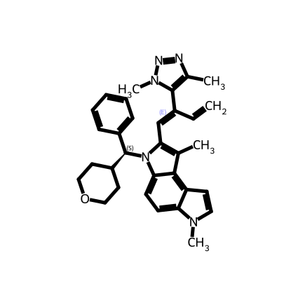 C=C/C(=C\c1c(C)c2c3ccn(C)c3ccc2n1[C@H](c1ccccc1)C1CCOCC1)c1c(C)nnn1C